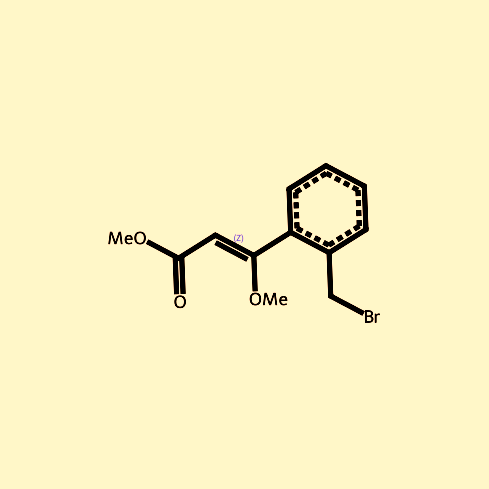 COC(=O)/C=C(\OC)c1ccccc1CBr